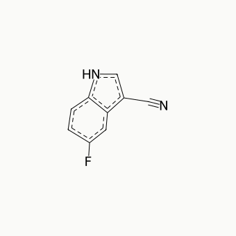 N#Cc1c[nH]c2ccc(F)cc12